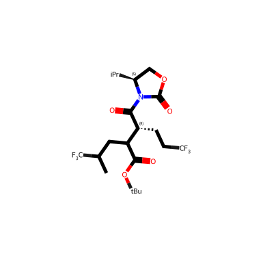 CC(C)[C@H]1COC(=O)N1C(=O)[C@H](CCC(F)(F)F)C(CC(C)C(F)(F)F)C(=O)OC(C)(C)C